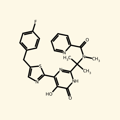 CN(C(=O)c1ccccn1)C(C)(C)c1nc(-c2ncc(Cc3ccc(F)cc3)s2)c(O)c(=O)[nH]1